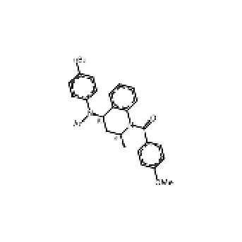 CCCCc1ccc(N(C(C)=O)[C@@H]2C[C@H](C)N(C(=O)c3ccc(OC)cc3)c3ccccc32)cc1